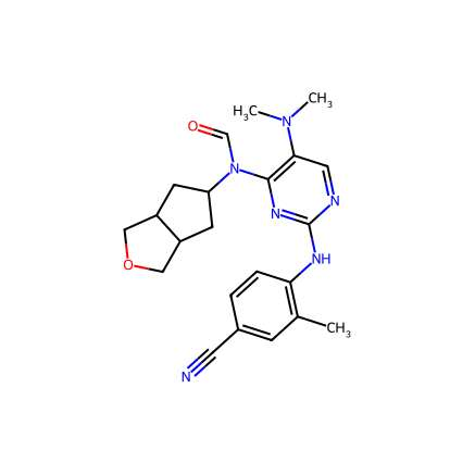 Cc1cc(C#N)ccc1Nc1ncc(N(C)C)c(N(C=O)C2CC3COCC3C2)n1